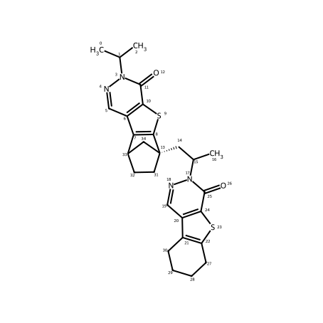 CC(C)n1ncc2c3c(sc2c1=O)[C@@]1(CC(C)n2ncc4c5c(sc4c2=O)CCCC5)CCC3C1